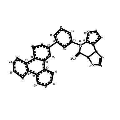 O=C1C2SC=CC2c2ccsc2N1c1cccc(-c2ccc3c4ccccc4c4ccccc4c3c2)c1